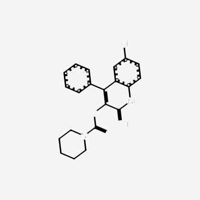 C=C1Nc2ccc(C)cc2C(c2ccccc2)=C1SC(=S)N1CCCCC1